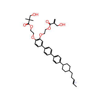 C=C(CO)C(=O)OCCOc1cc(-c2ccc(-c3ccc(C4CCC(CC/C=C/C)CC4)cc3)cc2)ccc1OCCOC(=O)C(C)(C)CO